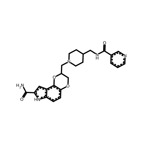 NC(=O)c1cc2c3c(ccc2[nH]1)OCC(CN1CCC(CNC(=O)c2cccnc2)CC1)O3